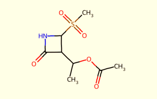 CC(=O)OC(C)C1C(=O)NC1S(C)(=O)=O